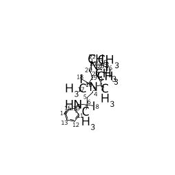 CC(C)N(CCC(C)(I)Nc1ccccc1)C(C)(I)CCN(C)C(C)(C)I